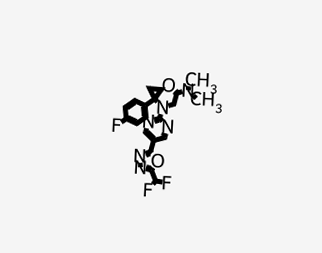 CN(C)C(=O)CN(c1ncc(-c2nnc(C(F)F)o2)cn1)C1(c2ccc(F)cc2)CC1